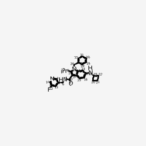 CC(C)c1c(C(=O)NCc2cncc(F)c2)c2ccc(NC3CCC3)cc2n1Cc1ccccc1